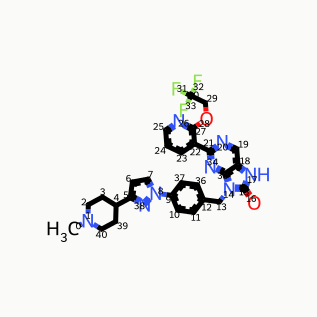 CN1CCC(c2ccn(-c3ccc(Cn4c(=O)[nH]c5cnc(-c6cccnc6OCC(F)(F)F)nc54)cc3)n2)CC1